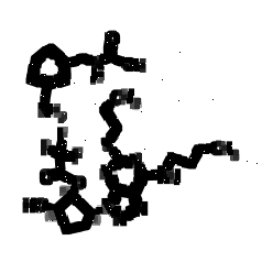 CCCCNc1nc(SCCC)nc2c1nnn2[C@@H]1CC[C@@H](O)[C@H]1OC(=O)C(F)(F)F.Nc1cccc(CNC(=O)O)c1